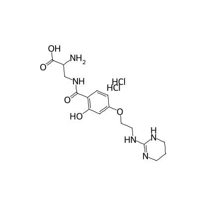 Cl.Cl.NC(CNC(=O)c1ccc(OCCNC2=NCCCN2)cc1O)C(=O)O